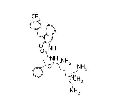 C[N+](CCN)(CCN)CCC[C@H](N)C(=O)N[C@H](CCc1ccccc1)C(=O)Nc1cc2ccccc2n(Cc2ccc(C(F)(F)F)cc2)c1=O